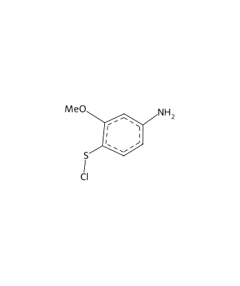 COc1cc(N)ccc1SCl